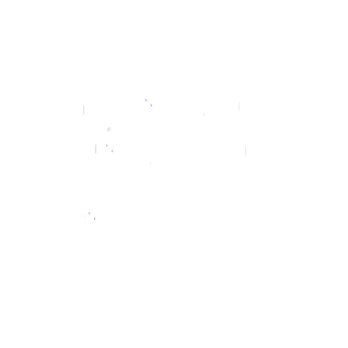 C[C@@H](NC(=O)c1c[nH]c2ccc(Cl)cc12)c1ccc(OCC(F)(F)F)cn1